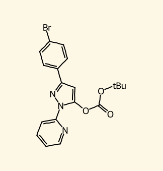 CC(C)(C)OC(=O)Oc1cc(-c2ccc(Br)cc2)nn1-c1ccccn1